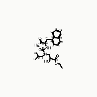 CCOC(=O)C(O)CN(CC(C)C)C(=O)NC(Cc1cccc2ccccc12)C(=O)O